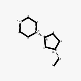 CC[C@H]1CC[C@@H](N2CCOCC2)C1